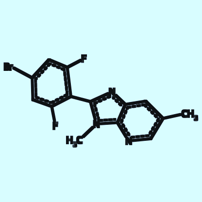 Cc1cnc2c(c1)nc(-c1c(F)cc(Br)cc1F)n2C